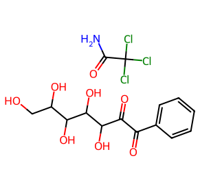 NC(=O)C(Cl)(Cl)Cl.O=C(C(=O)C(O)C(O)C(O)C(O)CO)c1ccccc1